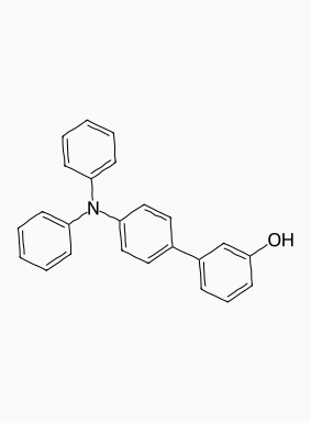 Oc1cccc(-c2ccc(N(c3ccccc3)c3ccccc3)cc2)c1